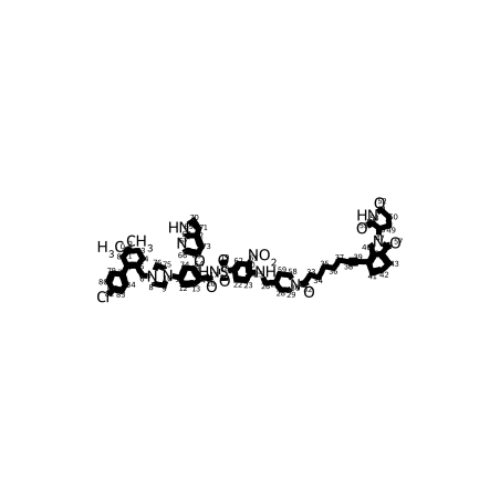 CC1(C)CCC(CN2CCN(c3ccc(C(=O)NS(=O)(=O)c4ccc(NCC5CCN(C(=O)CCCCCC#Cc6cccc7c6CN(C6CCC(=O)NC6=O)C7=O)CC5)c([N+](=O)[O-])c4)c(Oc4cnc5[nH]ccc5c4)c3)CC2)=C(c2ccc(Cl)cc2)C1